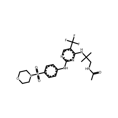 CC(=O)NCC(C)(C)Nc1nc(Nc2ccc(S(=O)(=O)N3CCOCC3)cc2)ncc1C(F)(F)F